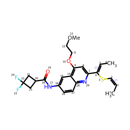 C/C=C\S/C(=C\C)c1cc(OCCOC)c2cc(NC(=O)C3CC(F)(F)C3)ccc2n1